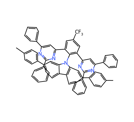 Cc1ccc(-c2ccc3c4ccc(-c5ccc(C)cc5)cc4n(-c4c(-c5cc(-c6ccccc6)nc(-c6ccccc6)n5)cc(C(F)(F)F)cc4-c4cc(-c5ccccc5)nc(-c5ccccc5)n4)c3c2)cc1